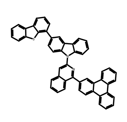 c1ccc2c(-c3ccc4c5ccccc5c5ccccc5c4c3)nc(-n3c4ccccc4c4cc(-c5cccc6c5sc5ccccc56)ccc43)cc2c1